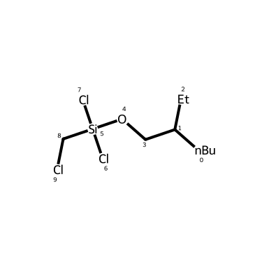 CCCCC(CC)CO[Si](Cl)(Cl)CCl